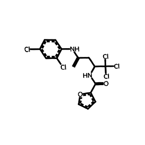 C=C(CC(NC(=O)c1ccco1)C(Cl)(Cl)Cl)Nc1ccc(Cl)cc1Cl